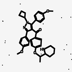 COc1ccc(-c2nn(C3CCC3)c(-c3ccc(OC)cc3)c2C(=O)c2ccc(OC(C)C3CCCCN3)cc2)cc1